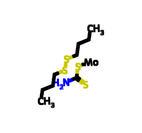 CCCCSSCCCC.NC(=S)[S][Mo]